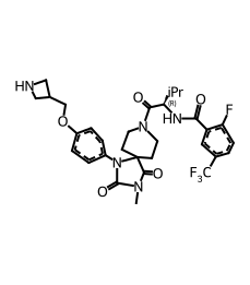 CC(C)[C@@H](NC(=O)c1cc(C(F)(F)F)ccc1F)C(=O)N1CCC2(CC1)C(=O)N(C)C(=O)N2c1ccc(OCC2CNC2)cc1